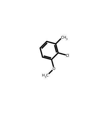 COc1cccc(C)c1Cl